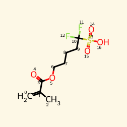 C=C(C)C(=O)OCCCCC(F)(F)S(=O)(=O)O